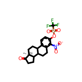 C[C@]12CCC3c4ccc(OS(=O)(=O)C(F)(F)F)c([N+](=O)[O-])c4CCC3C1CCC2=O